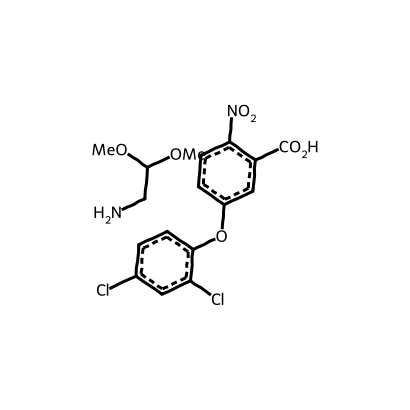 COC(CN)OC.O=C(O)c1cc(Oc2ccc(Cl)cc2Cl)ccc1[N+](=O)[O-]